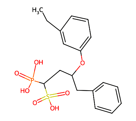 CCc1cccc(OC(Cc2ccccc2)CC(P(=O)(O)O)S(=O)(=O)O)c1